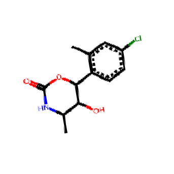 Cc1cc(Cl)ccc1C1OC(=O)NC(C)C1O